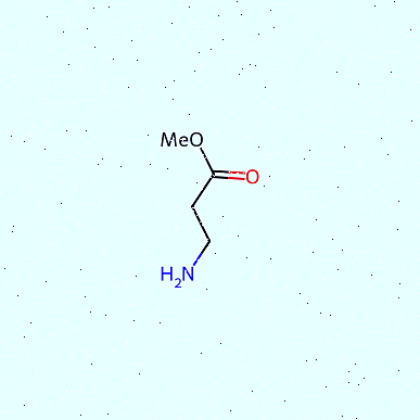 [CH2]OC(=O)CCN